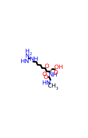 CNCC(=O)N[C@@H]([CH]C(=O)O)C(=O)C(=O)CCCCCNC(=N)N